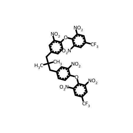 CC(C)(Cc1ccc(Oc2c([N+](=O)[O-])cc(C(F)(F)F)cc2[N+](=O)[O-])c([N+](=O)[O-])c1)Cc1ccc(Oc2c([N+](=O)[O-])cc(C(F)(F)F)cc2[N+](=O)[O-])c([N+](=O)[O-])c1